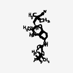 C[C@@H]1Nc2cc(NC(=O)OC(C)(C)C(F)(F)F)ccc2O[C@H]1CC(C)(C)C#N